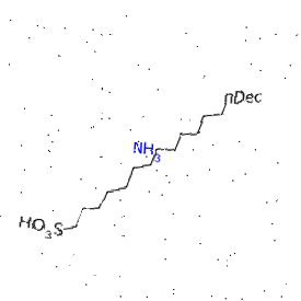 CCCCCCCCCCCCCCCCCCCCCCCS(=O)(=O)O.N